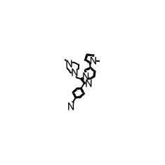 CN1CCCN(Cc2c(-c3ccc(C#N)cc3)nc3ccc(-c4cccn4C)cn23)CC1